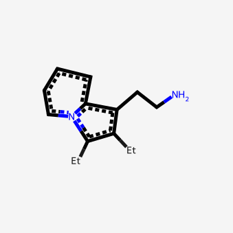 CCc1c(CCN)c2ccccn2c1CC